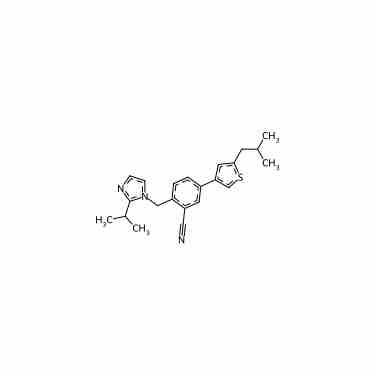 CC(C)Cc1cc(-c2ccc(Cn3ccnc3C(C)C)c(C#N)c2)cs1